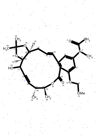 BC(=O)N(C)c1cc2c(c(OCOC)c1)C(=O)O[C@@H](C)[C@H](C)/C=C\C(O)[C@H]1OC(C)(C)O[C@H]1C/C=C/2